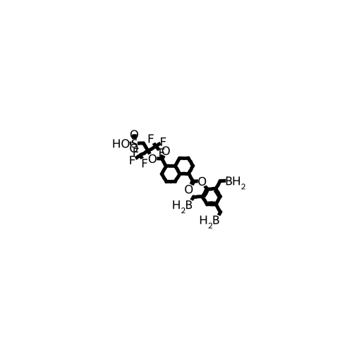 BCc1cc(CB)c(OC(=O)C2CCCC3C(C(=O)OC(CS(=O)(=O)O)(C(F)(F)F)C(F)(F)F)CCCC23)c(CB)c1